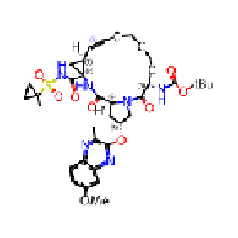 COc1ccc2nc(C)c(O[C@@H]3C[C@H]4C(=O)N[C@]5(C(=O)NS(=O)(=O)C6(C)CC6)C[C@H]5/C=C\CCCCC[C@H](NC(=O)OC(C)(C)C)C(=O)N4C3)nc2c1